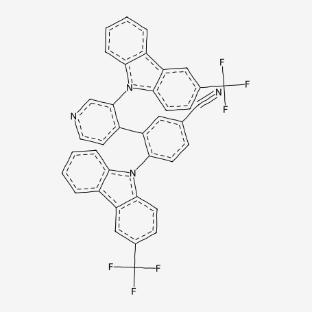 N#Cc1ccc(-n2c3ccccc3c3cc(C(F)(F)F)ccc32)c(-c2ccncc2-n2c3ccccc3c3cc(C(F)(F)F)ccc32)c1